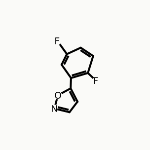 Fc1ccc(F)c(-c2ccno2)c1